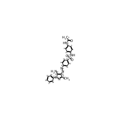 CC(=O)Nc1ccc(NS(=O)(=O)c2ccc(/N=N/c3c(C)nn(-c4ccccc4)c3N)cc2)cc1